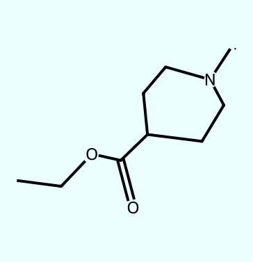 [CH2]N1CCC(C(=O)OCC)CC1